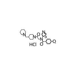 COc1ccc(C(=O)N(CC(=O)N2CCC(CN3CCCCC3)CC2)c2cncs2)cc1.Cl